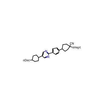 CCCCCCCCCCC1CCC(c2cnc(-c3ccc(C4CCC(C#N)(CCCCCCC)CC4)cc3)nc2)CC1